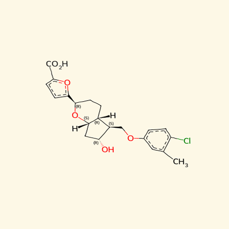 Cc1cc(OC[C@@H]2[C@H]3CC[C@H](c4ccc(C(=O)O)o4)O[C@H]3C[C@H]2O)ccc1Cl